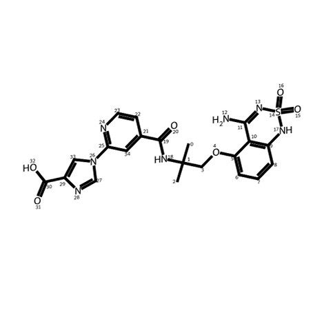 CC(C)(COc1cccc2c1C(N)=NS(=O)(=O)N2)NC(=O)c1ccnc(-n2cnc(C(=O)O)c2)c1